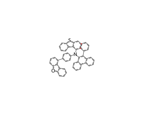 c1ccc(-c2c(N(c3ccc(-c4cccc5oc6ccccc6c45)cc3)c3cccc4sc5ccccc5c34)c3ccccc3c3ccccc23)cc1